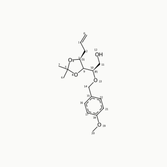 C=CC[C@@H]1OC(C)(C)OC1[C@@H](CO)OCc1ccc(OC)cc1